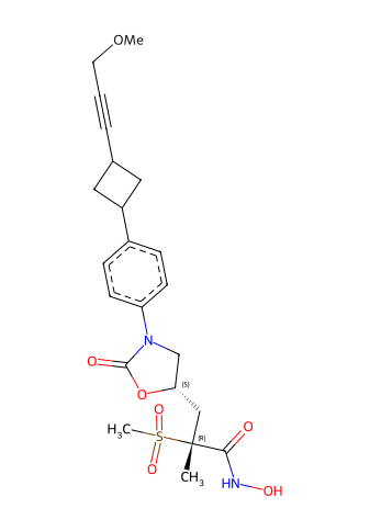 COCC#CC1CC(c2ccc(N3C[C@H](C[C@](C)(C(=O)NO)S(C)(=O)=O)OC3=O)cc2)C1